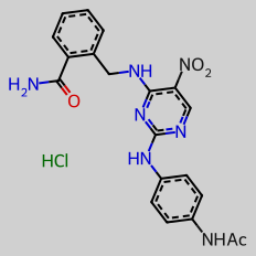 CC(=O)Nc1ccc(Nc2ncc([N+](=O)[O-])c(NCc3ccccc3C(N)=O)n2)cc1.Cl